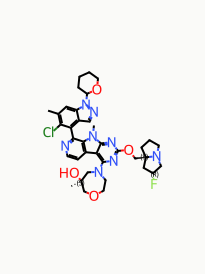 Cc1cc2c(cnn2C2CCCCO2)c(-c2nccc3c4c(N5CCOC[C@@](C)(O)C5)nc(OC[C@@]56CCCN5C[C@H](F)C6)nc4n(C)c23)c1Cl